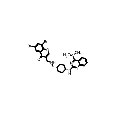 CN(C)c1nc(N[C@H]2CC[C@@H](CNCc3coc4c(Br)cc(Br)cc4c3=O)CC2)nc2ccccc12